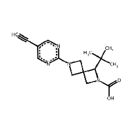 C#Cc1cnc(N2CC3(C2)CN(C(=O)O)C3C(C)(C)C)nc1